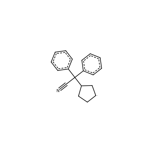 N#CC(c1ccccc1)(c1ccccc1)C1C[CH]CC1